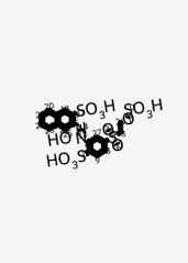 O=S(=O)(O)OCCS(=O)(=O)c1ccc(S(=O)(=O)O)c(N=Nc2c(S(=O)(=O)O)cc3ccccc3c2O)c1